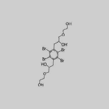 OCCOCC(O)Cc1c(Br)c(Br)c(CC(O)COCCO)c(Br)c1Br